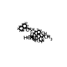 Cc1ccnc(C(C)C)c1-c1cccc2c(CCCOc3cccc4ccccc34)c(OC(=O)O)[nH]c12